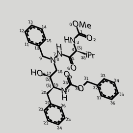 COC(=O)N[C@H](C(=O)NN(Cc1ccccc1)C[C@H](O)[C@H](Cc1ccccc1)NC(=O)OCc1ccccc1)C(C)C